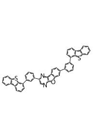 c1cc(-c2ccc3c(c2)oc2ncc(-c4cccc(-c5cccc6c5sc5ccccc56)c4)nc23)cc(-c2cccc3c2sc2ccccc23)c1